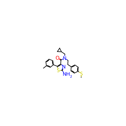 CSc1ccc(CCN(CC2CC2)C(=O)c2nc(N)sc2-c2cccc(C)c2)cc1